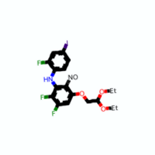 CCOC(COc1cc(F)c(F)c(Nc2ccc(I)cc2F)c1N=O)OCC